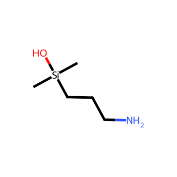 C[Si](C)(O)CCCN